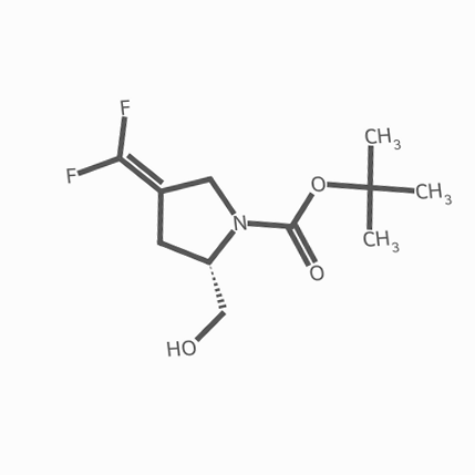 CC(C)(C)OC(=O)N1CC(=C(F)F)C[C@H]1CO